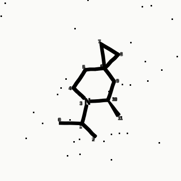 CC(C)N1CCC2(CC2)C[C@H]1C